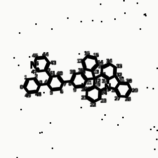 c1ccc(-c2ccc(-c3ccc(C4(c5ccccc5)c5ccccc5-n5c6ccccc6c6cccc4c65)cc3)cc2-c2cccnc2)cc1